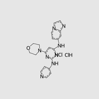 Cl.Cl.c1cc(Nc2nc(Nc3ccn4ccnc4c3)cc(N3CCOCC3)n2)ccn1